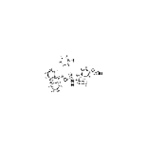 C1CCNCC1.CC(C)(C)Oc1ccc(C[C@H](NC(=O)OCC2c3ccccc3-c3ccccc32)C(=O)O)cc1